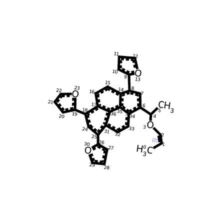 C/C=C\OC(C)c1cc(-c2ccco2)c2ccc3c(-c4ccco4)cc(-c4ccco4)c4ccc1c2c34